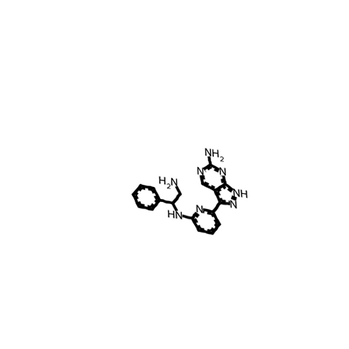 NCC(Nc1cccc(-c2n[nH]c3nc(N)ncc23)n1)c1ccccc1